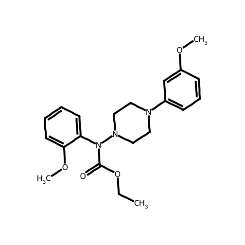 CCOC(=O)N(c1ccccc1OC)N1CCN(c2cccc(OC)c2)CC1